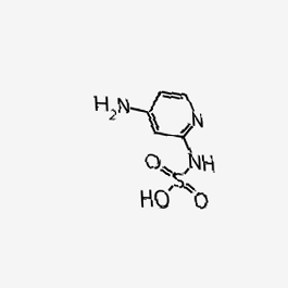 Nc1ccnc(NS(=O)(=O)O)c1